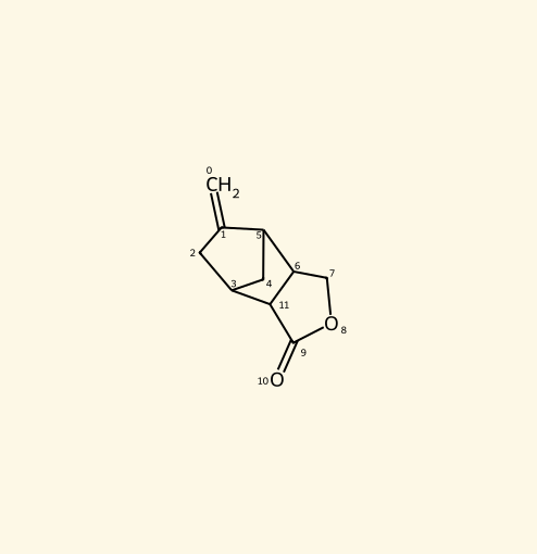 C=C1CC2CC1C1COC(=O)C21